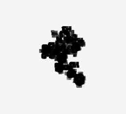 CC(C)CC(C(=O)NC1(C)C(=O)COC1C)c1cc(-c2cccs2)ccc1C(N)=O.CC(C)CC(N)C(=O)NC1(C)C(=O)COC1C.O=C(O)c1ccc(-c2ccccc2)s1